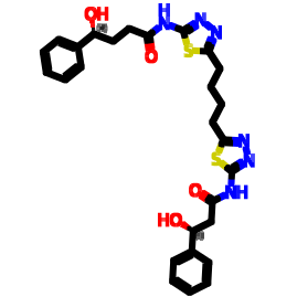 O=C(CC[C@@H](O)c1ccccc1)Nc1nnc(CCCCc2nnc(NC(=O)C[C@H](O)c3ccccc3)s2)s1